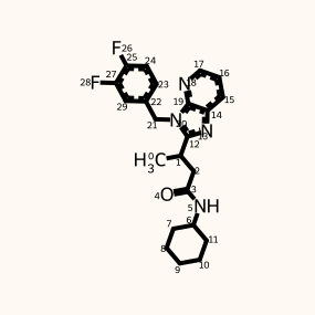 CC(CC(=O)NC1CCCCC1)c1nc2cccnc2n1Cc1ccc(F)c(F)c1